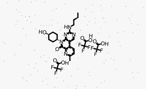 CCCCNc1ncc2c3ccc(C)nc3c(=O)n([C@H]3CC[C@H](O)CC3)c2n1.O=C(O)C(F)(F)F.O=C(O)C(F)(F)F.O=C(O)C(F)(F)F